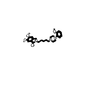 COc1cc2c(cc1OC)C(=O)N(CCCCCN1CCN(c3ccccc3OC)CC1)C2